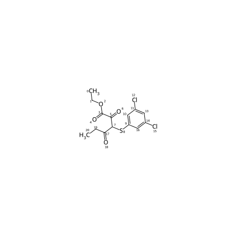 CCOC(=O)C(=O)C(Sc1cc(Cl)cc(Cl)c1)C(=O)CC